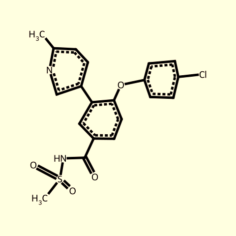 Cc1ccc(-c2cc(C(=O)NS(C)(=O)=O)ccc2Oc2ccc(Cl)cc2)cn1